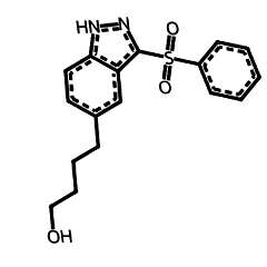 O=S(=O)(c1ccccc1)c1n[nH]c2ccc(CCCCO)cc12